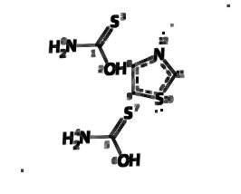 NC(O)=S.NC(O)=S.c1cscn1